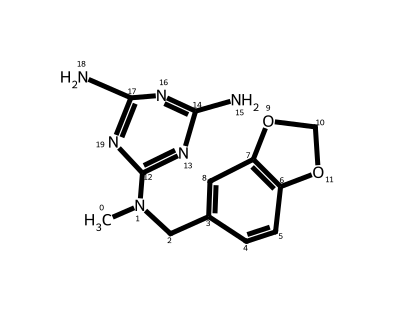 CN(Cc1ccc2c(c1)OCO2)c1nc(N)nc(N)n1